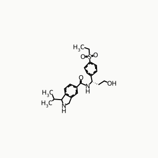 CCS(=O)(=O)c1ccc([C@H](CCO)NC(=O)c2ccc3c(c2)CNC3C(C)C)cc1